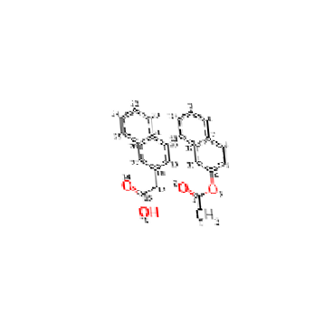 CC(=O)Oc1ccc2ccccc2c1.O=C(O)Cc1ccc2ccccc2c1